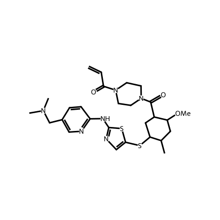 C=CC(=O)N1CCN(C(=O)C2CC(Sc3cnc(Nc4ccc(CN(C)C)cn4)s3)C(C)CC2OC)CC1